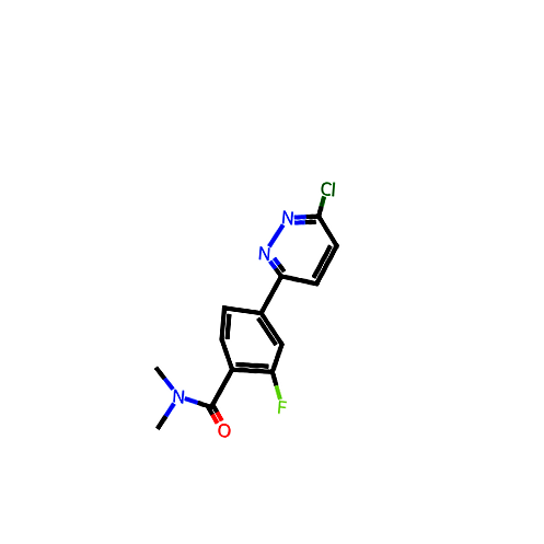 CN(C)C(=O)c1ccc(-c2ccc(Cl)nn2)cc1F